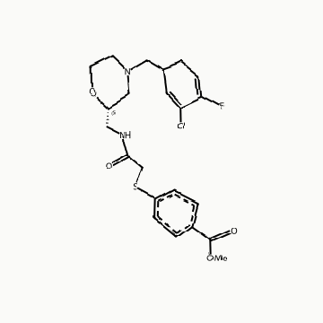 COC(=O)c1ccc(SCC(=O)NC[C@H]2CN(CC3C=C(Cl)C(F)=CC3)CCO2)cc1